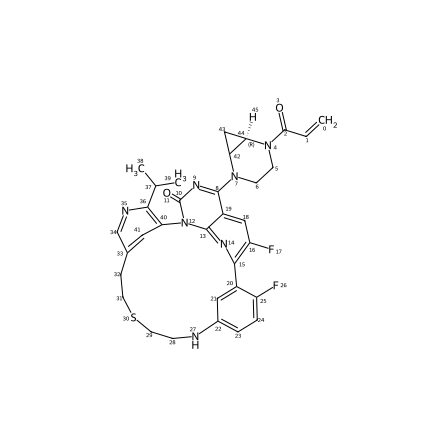 C=CC(=O)N1CCN(c2nc(=O)n3c4nc(c(F)cc24)-c2cc(ccc2F)NCCSCCc2cnc(C(C)C)c-3c2)C2C[C@H]21